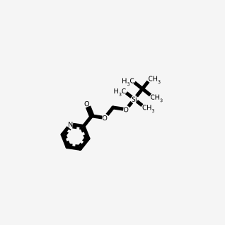 CC(C)(C)[Si](C)(C)OCOC(=O)c1ccccn1